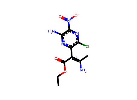 CCOC(=O)/C(=C(/C)N)c1nc(N)c([N+](=O)[O-])nc1Cl